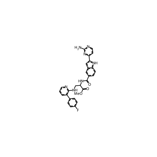 COC(=O)C(CNc1ncccc1-c1ccc(F)cc1)NC(=O)c1ccc2[nH]c(-c3ccnc(N)n3)cc2c1